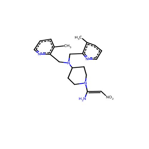 Cc1cccnc1CN(Cc1ncccc1C)C1CCN(C(N)=C[N+](=O)[O-])CC1